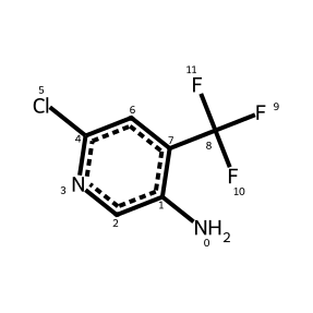 Nc1cnc(Cl)cc1C(F)(F)F